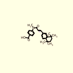 CN(C(=O)/C=C/c1ccc2c(c1)C(C)(C)CCC2(C)C)c1ccc(C(=O)O)cc1